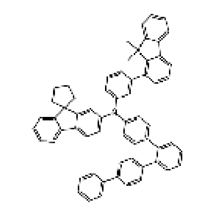 CC1(C)c2ccccc2-c2cccc(-c3cccc(N(c4ccc(-c5ccccc5-c5ccc(-c6ccccc6)cc5)cc4)c4ccc5c(c4)C4(CCCC4)c4ccccc4-5)c3)c21